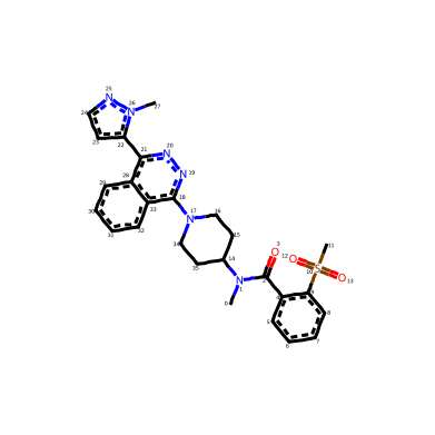 CN(C(=O)c1ccccc1S(C)(=O)=O)C1CCN(c2nnc(-c3ccnn3C)c3ccccc23)CC1